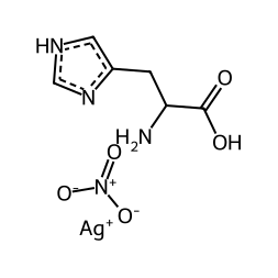 NC(Cc1c[nH]cn1)C(=O)O.O=[N+]([O-])[O-].[Ag+]